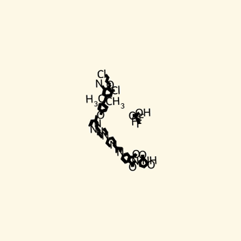 CC(C)(c1ccc(OCc2ccnc(N3CCN(C4CCN(C5CN(c6ccc7c(c6)C(=O)N(C6CCC(=O)NC6=O)C7=O)C5)CC4)CC3)n2)cc1)c1cc(Cl)c(OCCCl)c(C#N)c1.O=C(O)C(F)(F)F